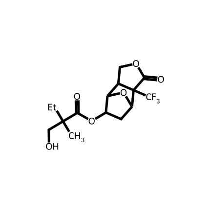 CCC(C)(CO)C(=O)OC1CC2OC1C1COC(=O)C21C(F)(F)F